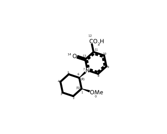 CO[C@H]1CCCC[C@H]1n1cccc(C(=O)O)c1=O